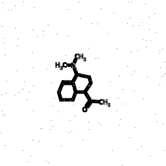 CC(=O)C1CCC(N(C)C)C2=CCCCC21